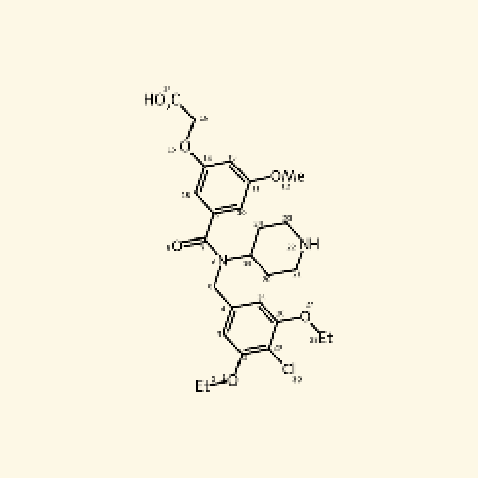 CCOc1cc(CN(C(=O)c2cc(OC)cc(OCC(=O)O)c2)C2CCNCC2)cc(OCC)c1Cl